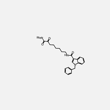 CNC(=O)C(=O)CCCCCCNC(=O)c1cn(Cc2ccccc2)c2ccccc12